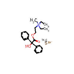 CBr.CC[N+](C)(CC)CCOC(=O)C(O)(c1ccccc1)c1ccccc1.[Br-]